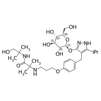 CC(C)c1[nH]nc(O[C@@H]2O[C@H](CO)[C@@H](O)[C@H](O)[C@H]2O)c1Cc1ccc(OCCCNC(C)(C)C(=O)NC(C)(C)CO)cc1